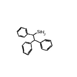 [SiH3]C(c1ccccc1)C(c1ccccc1)c1ccccc1